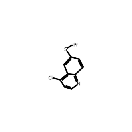 CC(C)Sc1ccc2nccc(Cl)c2c1